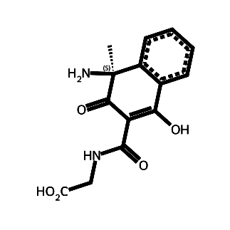 C[C@@]1(N)C(=O)C(C(=O)NCC(=O)O)=C(O)c2ccccc21